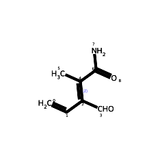 C=C/C(C=O)=C(\C)C(N)=O